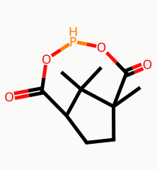 CC12CCC(C(=O)OPOC1=O)C2(C)C